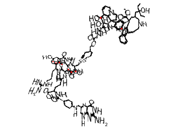 C#C/C=C(\C=C/CSSCC(NC(=O)[C@H](CC(=O)O)NC(=O)C(CC(=O)O)NC(=O)[C@H](CCCNC(=N)N)NC(=O)C(CC(=O)O)NC(=O)CCC(NC(=O)[C@H]1CC=C(NCC2=Nc3c(nc(N)[nH]c3=O)NC2)CC1)C(=O)O)C(=O)O)COC(=O)NNC(=O)[C@]1(O)[C@@H]2N(C)c3cc(OC)c([C@@]4(C(=O)OC)CC(CC(O)(CC)CC)CNCCc5c4[nH]c4ccccc54)cc3C23CCN2CC=C[C@](CC)([C@H]23)[C@H]1O